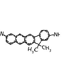 CC1(C)c2cc(N)ccc2-c2cc3cc4cc(N)ccc4cc3cc21